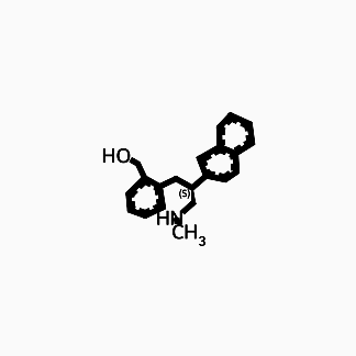 CNC[C@@H](Cc1ccccc1CO)c1ccc2ccccc2c1